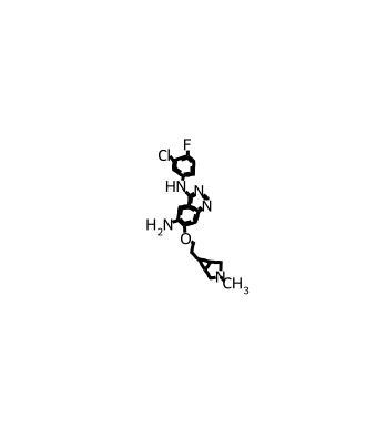 CN1CC2C(CCOc3cc4ncnc(Nc5ccc(F)c(Cl)c5)c4cc3N)C2C1